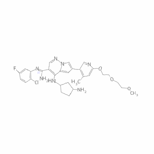 COCCOCCOc1cc(C)c(-c2cc3c(NC4CCC(N)C4)c(/C(N)=N/c4cc(F)ccc4Cl)cnn3c2)cn1